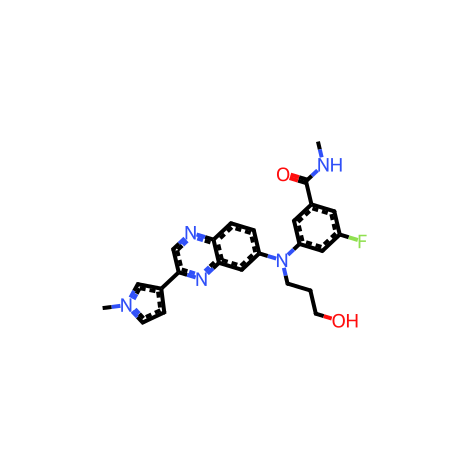 CNC(=O)c1cc(F)cc(N(CCCO)c2ccc3ncc(-c4ccn(C)c4)nc3c2)c1